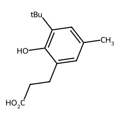 Cc1cc(CCC(=O)O)c(O)c(C(C)(C)C)c1